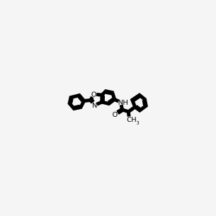 CC(C(=O)Nc1ccc2oc(-c3ccccc3)nc2c1)c1ccccc1